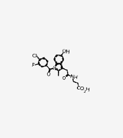 Cc1c(CC(=O)NCCC(=O)O)c2cc(O)ccc2n1C(=O)c1ccc(Cl)c(F)c1